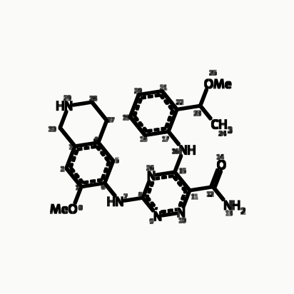 COc1cc2c(cc1Nc1nnc(C(N)=O)c(Nc3ccccc3C(C)OC)n1)CCNC2